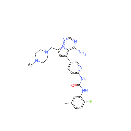 CC(=O)N1CCN(Cc2cc(-c3ccc(NC(=O)Nc4cc(C)ccc4F)nc3)c3c(N)ncnn23)CC1